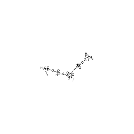 C=C(C)C(=O)OCCOCCNC(=O)OCCSCCCn1c(=O)n(CCCSCCOC(=O)NCCOCCOC(=O)C(=C)C)c(=O)n(CC(F)(F)F)c1=O